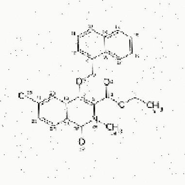 CCOC(=O)c1c(OCc2cccc3ccccc23)c2cc(Cl)ccc2c(=O)n1C